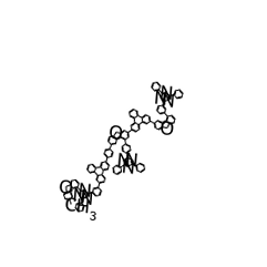 Cc1ccc2oc3cccc(-c4nc(-c5ccccc5)nc(-c5cccc(-c6ccc7c8ccc(-c9ccc(-c%10ccc%11oc%12cc(-c%13ccc%14c(c%13)c%13ccccc%13c%13ccc(-c%15ccc%16oc%17cccc(-c%18cccc(-c%19nc(-c%20ccccc%20)nc(-c%20ccccc%20)n%19)c%18)c%17c%16c%15)cc%13%14)cc(-c%13ccc(-c%14nc(-c%15ccccc%15)nc(-c%15ccccc%15)n%14)cc%13)c%12c%11c%10)cc9)cc8c8ccccc8c7c6)c5)n4)c3c2c1